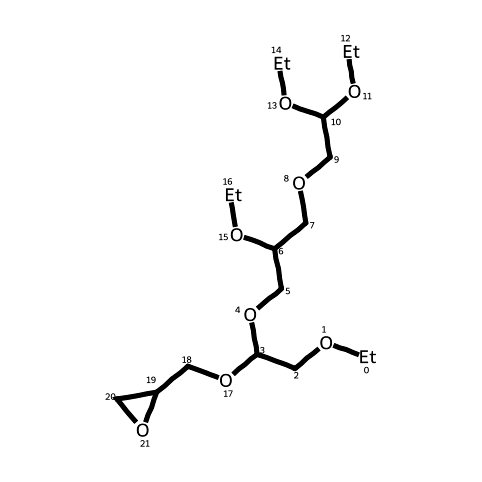 CCOCC(OCC(COCC(OCC)OCC)OCC)OCC1CO1